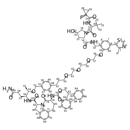 Cc1ncsc1-c1ccc(CNC(=O)[C@@H]2C[C@@H](O)CN2C(=O)[C@@H](NC(=O)C2(F)CC2)C(C)(C)C)c(OCCOCCOCCOCCCc2ccc(CO[C@H](C)[C@H](CCC(N)=O)NC(=O)[C@@H]3Cc4cccc5c4N3C(=O)[C@@H](NC(=O)OCC3c4ccccc4-c4ccccc43)CC5)cc2)c1